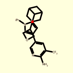 CC(C)n1nc(-c2cnc(N)c(C(F)(F)F)c2)cc1C1C2CC1CN(C1COC1)C2